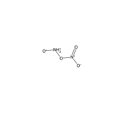 O=[N+]([O-])O[NH2+][O-]